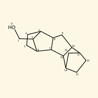 OCC1C2CCC1C1C2CC2C3CCC(C3)C21